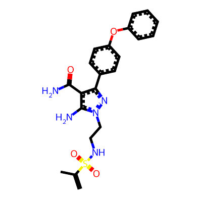 C=C(C)S(=O)(=O)NCCn1nc(-c2ccc(Oc3ccccc3)cc2)c(C(N)=O)c1N